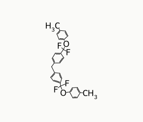 Cc1ccc(OC(F)(F)c2ccc(Cc3ccc(C(F)(F)Oc4ccc(C)cc4)cc3)cc2)cc1